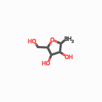 BC1OC(CO)C(O)C1O